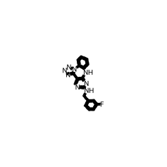 Fc1cccc(CNc2ncc3c(n2)Nc2ccccc2-n2nnnc2-3)c1